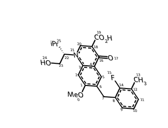 COc1cc2c(cc1Cc1cccc(C)c1F)c(=O)c(C(=O)O)cn2[C@H](CO)C(C)C